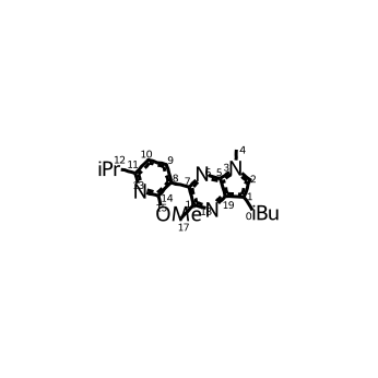 CCC(C)c1cn(C)c2nc(-c3ccc(C(C)C)nc3OC)c(C)nc12